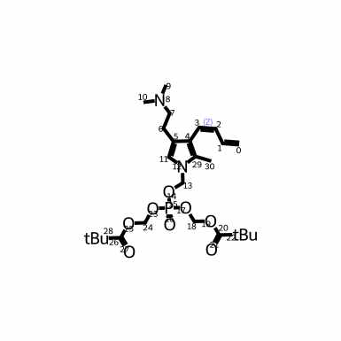 C=C/C=C\c1c(CCN(C)C)cn(COP(=O)(OCOC(=O)C(C)(C)C)OCOC(=O)C(C)(C)C)c1C